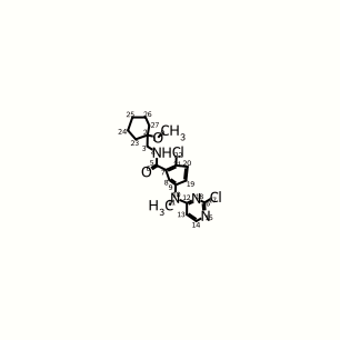 COC1(CNC(=O)c2cc(N(C)c3ccnc(Cl)n3)ccc2Cl)CCCCC1